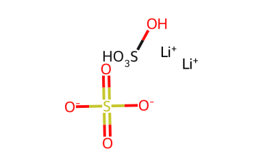 O=S(=O)(O)O.O=S(=O)([O-])[O-].[Li+].[Li+]